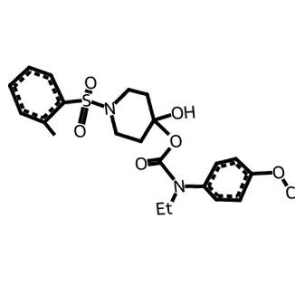 CCN(C(=O)OC1(O)CCN(S(=O)(=O)c2ccccc2C)CC1)c1ccc(OC(F)(F)F)cc1